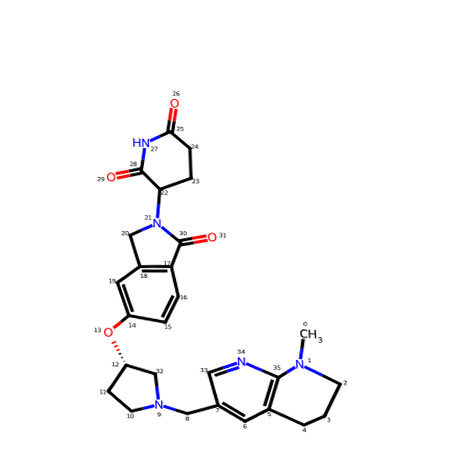 CN1CCCc2cc(CN3CC[C@H](Oc4ccc5c(c4)CN(C4CCC(=O)NC4=O)C5=O)C3)cnc21